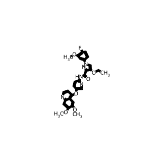 CCOc1cn(-c2ccc(F)c(OC)c2)nc1C(=O)Nc1ccc(Oc2ccnc3cc(OC)c(OC)cc23)cn1